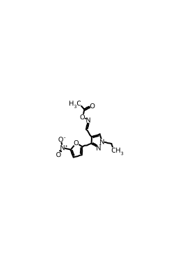 CCn1cc(/C=N/OC(C)=O)c(-c2ccc([N+](=O)[O-])o2)n1